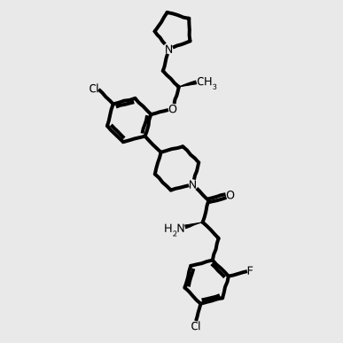 C[C@H](CN1CCCC1)Oc1cc(Cl)ccc1C1CCN(C(=O)[C@H](N)Cc2ccc(Cl)cc2F)CC1